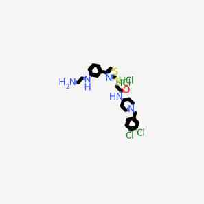 Cl.Cl.NCCNc1cccc(-c2csc(SCC(=O)NC3CCN(Cc4ccc(Cl)c(Cl)c4)CC3)n2)c1